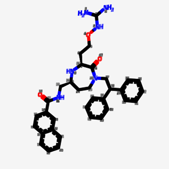 NC(N)NOCC[C@@H]1N[C@H](CNC(=O)c2ccc3ccccc3c2)CCN(CC(c2ccccc2)c2ccccc2)C1=O